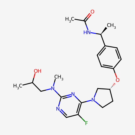 CC(=O)N[C@@H](C)c1ccc(O[C@@H]2CCN(c3nc(N(C)CC(C)O)ncc3F)C2)cc1